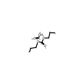 CCCOC(=O)OCCC.O=CO